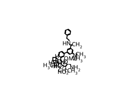 C=C(NCCc1ccccc1)c1cc(-c2cccc(CN3O[C@@H](CN)[C@@H]([C@H](C)O)[C@H]3C(=C)N[C@H]3C[C@H]4C[C@@H]([C@@H]3C)C4(C)C)c2OC)cc(N(C)C)c1